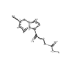 COC(=O)CCC(=O)c1cnc2cc(C)ccn12